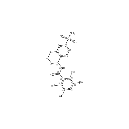 NS(=O)(=O)c1ccc2c(c1)CCCC2NC(=O)c1c(F)c(F)cc(F)c1F